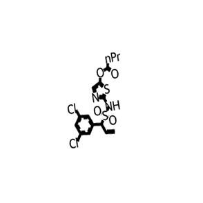 C=CC(c1cc(Cl)cc(Cl)c1)S(=O)(=O)Nc1ncc(OC(=O)CCC)s1